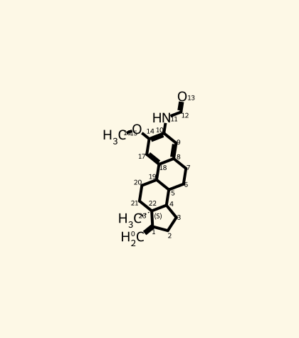 C=C1CCC2C3CCc4cc(NC=O)c(OC)cc4C3CC[C@]12C